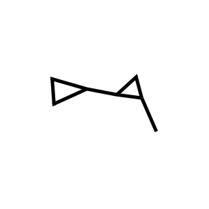 CC1CC1C1CC1